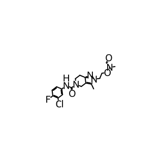 Cc1c2c(nn1CCON(C)C=O)CCN(C(=O)Nc1ccc(F)c(Cl)c1)C2